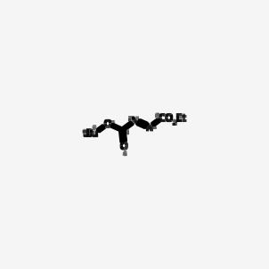 CCOC(=O)/N=N/C(=O)OC(C)(C)C